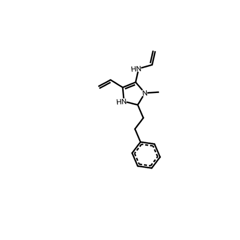 C=CNC1=C(C=C)NC(CCc2ccccc2)N1C